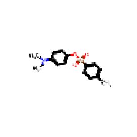 Cc1ccc(S(=O)(=O)Oc2ccc(N(C)C)cc2)cc1